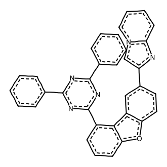 c1ccc(-c2nc(-c3ccccc3)nc(-c3cccc4oc5ccc(-c6cn7ccccc7n6)cc5c34)n2)cc1